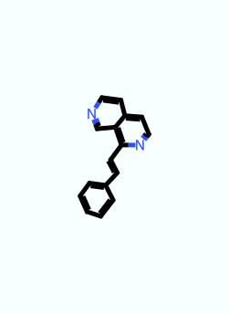 C(=Cc1nccc2ccncc12)c1ccccc1